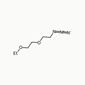 CCOCCOCCN=[N+]=[N-]